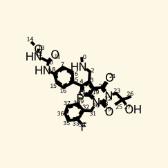 CNCc1c(-c2ccc(NC(=O)NOC)cc2)sc2c1c(=O)n(CC(C)(C)O)c(=O)n2Cc1c(F)cccc1F